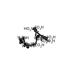 C\C(=C/C=C(/C=C/C(C)=[N+](\CCCS(=O)(=O)O)c1ccc2c(S(=O)(=O)O)cc(S(=O)(=O)O)cc2c1C)c1ccc(C(=O)NCCCC[C@H](NC(=O)CCCNC(=O)[C@@H]2CCCN2C(=O)[C@@H]2CCCN2C(=O)[C@H](CCCNC(=N)N)NC(=O)C2CCCN2C(=O)CN)C(=O)O)cn1)N(CCCS(=O)(=O)O)c1ccc2c(S(=O)(=O)O)cc(S(=O)(=O)O)cc2c1C